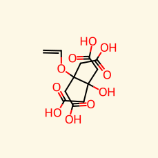 C=COC(CC(=O)O)(CC(=O)O)C(O)(CC(=O)O)CC(=O)O